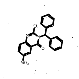 Bc1ccc2nc(CC)n(C(c3ccccc3)c3ccccc3)c(=O)c2c1